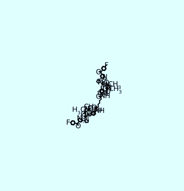 C[C@@H](C(=O)N[C@@H](Cc1ccc(NC(=O)CCCCCC(=O)Nc2ccc(C[C@H](NC(=O)[C@H](C)N(C)C(=O)OC(C)(C)C)C(=O)N3CCC[C@H]3c3cncc(C(=O)c4ccc(F)cc4)c3)cc2)cc1)C(=O)N1CCC[C@H]1c1cncc(C(=O)c2ccc(F)cc2)c1)N(C)C(=O)OC(C)(C)C